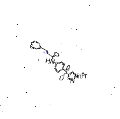 CCCn1cc(S(=O)(=O)c2ccc(NC(=O)/C=C/c3cccnc3)cc2)cn1